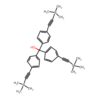 C[Si](C)(C)C#Cc1ccc(C(O)(c2ccc(C#C[Si](C)(C)C)cc2)c2ccc(C#C[Si](C)(C)C)cc2)cc1